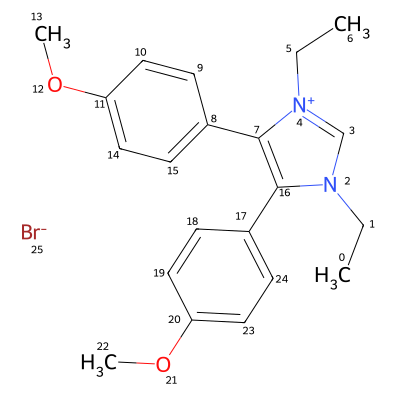 CCn1c[n+](CC)c(-c2ccc(OC)cc2)c1-c1ccc(OC)cc1.[Br-]